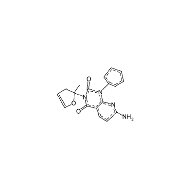 CC1(n2c(=O)c3ccc(N)nc3n(-c3ccccc3)c2=O)CC=CO1